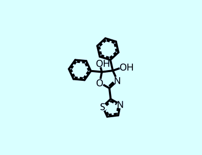 OC1(c2ccccc2)N=C(c2nccs2)OC1(O)c1ccccc1